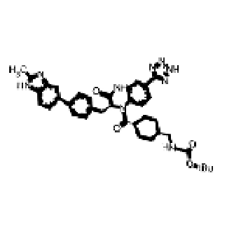 Cc1nc2cc(-c3ccc(C[C@@H](C(N)=O)N(c4ccc(-c5nn[nH]n5)cc4)C(=O)[C@H]4CC[C@H](CNC(=O)OC(C)(C)C)CC4)cc3)ccc2[nH]1